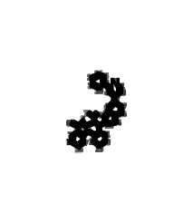 C=CCCC(C(=C)C)C(C1=C(Cc2ccccc2)CCCC1)c1ccc2ccc(-c3ccnc(-c4ccccc4)c3)cc2c1